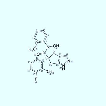 Cc1ccccc1N(O)C(=O)[C@@]1(c2cccc(F)c2C)Cc2cn[nH]c2C1